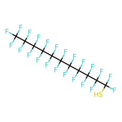 FC(F)(F)C(F)(F)C(F)(F)C(F)(F)C(F)(F)C(F)(F)C(F)(F)C(F)(F)C(F)(F)C(F)(F)C(F)(F)S